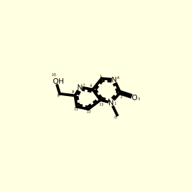 Cn1c(=O)ncc2nc(CO)ccc21